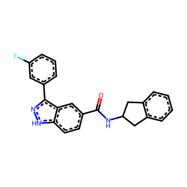 O=C(NC1Cc2ccccc2C1)c1ccc2[nH]nc(-c3cccc(F)c3)c2c1